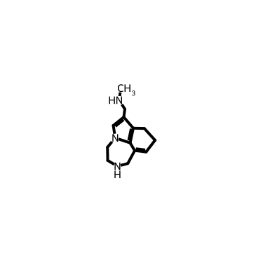 CNCc1cn2c3c1CCC=C3CNCC2